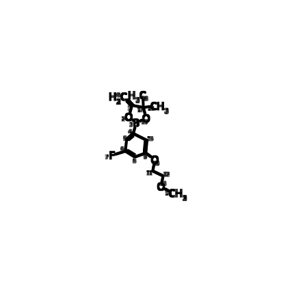 C=C1OB(c2cc(F)cc(OCCOC)c2)OC1(C)C